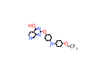 CN(c1ccc(OCC(F)(F)F)cc1)c1ccc(Oc2nc(O)c3ccncc3n2)cc1